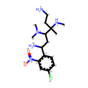 CNC(C)(CCN)C(CC(N)c1ccc(Cl)cc1[N+](=O)[O-])N(C)C